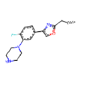 COCc1nc(-c2ccc(F)c(N3CCNCC3)c2)co1